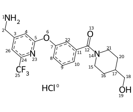 Cl.NCc1cc(Oc2cccc(C(=O)N3CCC(CO)CC3)c2)nc(C(F)(F)F)c1